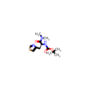 CN(C)C(=O)[C@H](Cc1cscn1)NC(=O)OC(C)(C)C